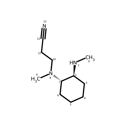 CN[C@H]1CCCC[C@@H]1N(C)CCC#N